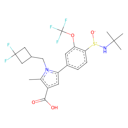 Cc1c(C(=O)O)cc(-c2ccc([S+]([O-])NC(C)(C)C)c(OC(F)(F)F)c2)n1CC1CC(F)(F)C1